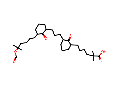 CC(C)(CCCCC1CCCC(CCCC2CCCC(CCCCC(C)(C)C(=O)O)C2=O)C1=O)OC=O